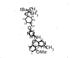 COc1cccc(F)c1-c1cc(C)ncc1C(=O)Nc1nnc(OCC2CCC(O[Si](C)(C)C(C)(C)C)CC2)s1